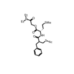 CCN(CC)C(=O)COC(=O)[C@H](CCSC)NC(=O)C(CSC(C)=O)Cc1ccccc1